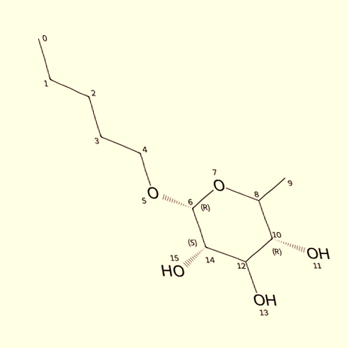 CCCCCO[C@@H]1OC(C)[C@H](O)C(O)[C@@H]1O